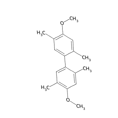 COc1cc(C)c(-c2cc(C)c(OC)cc2C)cc1C